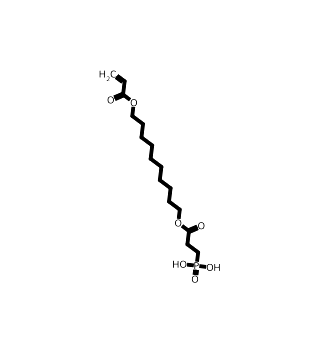 C=CC(=O)OCCCCCCCCCCOC(=O)CCP(=O)(O)O